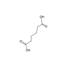 O=C(O)[CH]CC[CH]C(=O)O